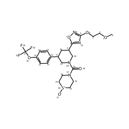 COCCOc1noc(C2CC(c3ccc(OC(F)(F)F)cc3)CN(C(=O)N3CC[S+]([O-])CC3)C2)n1